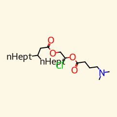 CCCCCCCC(CCCCCCC)CC(=O)OCC(Cl)OC(=O)CCCN(C)C